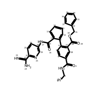 CC(C)CNC(=O)c1ccc(-c2ccccc2C(=O)Nc2ccc(C(=N)N)nc2)c(C(=O)OCc2ccccc2)c1